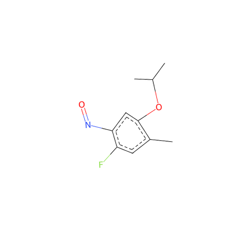 Cc1cc(F)c(N=O)cc1OC(C)C